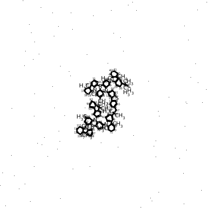 Cc1cc2c3c(c1)N1c4c(cccc4C4(C)CCCCC14C)B3c1ccc(N3c4ccc(C(C)(C)C)cc4C4(C)CCCCC34C)cc1N2c1ccc2sc3cc(CC(C)(C)c4ccc5c(c4)C4(C)CCCCC4(C)N5c4ccc5c(c4)N(c4ccc6c(c4)-c4ccccc4C6(C)C)c4cc(C)cc6c4B5c4cccc5c4N6C4(C)CCCCC54C)ccc3c2c1